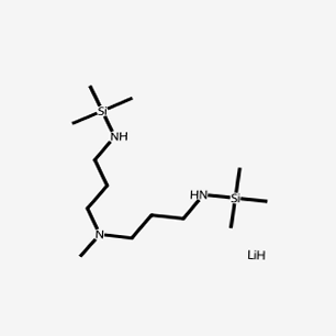 CN(CCCN[Si](C)(C)C)CCCN[Si](C)(C)C.[LiH]